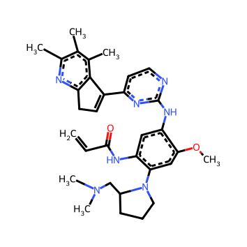 C=CC(=O)Nc1cc(Nc2nccc(C3=CCc4nc(C)c(C)c(C)c43)n2)c(OC)cc1N1CCCC1CN(C)C